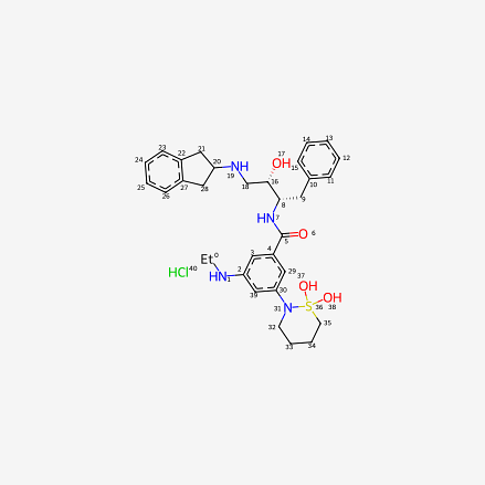 CCNc1cc(C(=O)N[C@@H](Cc2ccccc2)[C@@H](O)CNC2Cc3ccccc3C2)cc(N2CCCCS2(O)O)c1.Cl